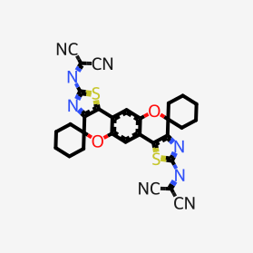 N#CC(C#N)=Nc1nc2c(s1)-c1cc3c(cc1OC21CCCCC1)-c1sc(N=C(C#N)C#N)nc1C1(CCCCC1)O3